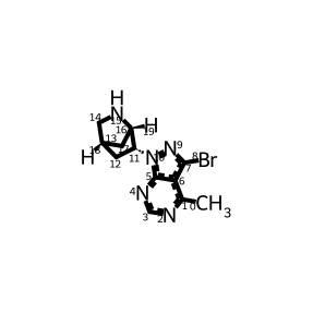 Cc1ncnc2c1c(Br)nn2[C@@H]1C[C@@H]2CN[C@H]1C2